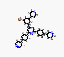 Brc1cc(-c2ccncc2)cc(-c2cc(-c3ccc(-c4ccncc4)cc3)nc(-c3ccc(-c4cccnc4)cc3)n2)c1